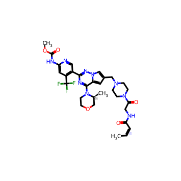 C/C=C\C(=O)NCC(=O)N1CCN(Cc2cc3c(N4CCOC[C@@H]4C)nc(-c4cnc(NC(=O)OC)cc4C(F)(F)F)nn3c2)CC1